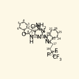 CC1(c2ccccc2)C(=O)Nc2nc(-n3nc(CCC(F)(F)C(F)(F)F)c4ccccc43)nc(N)c21